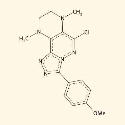 COc1ccc(-c2nnc3c4c(c(Cl)nn23)N(C)CCN4C)cc1